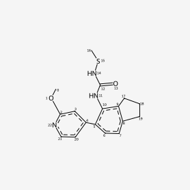 COc1cc(-c2ccc3c(c2NC(=O)NSC)CCC3)ccn1